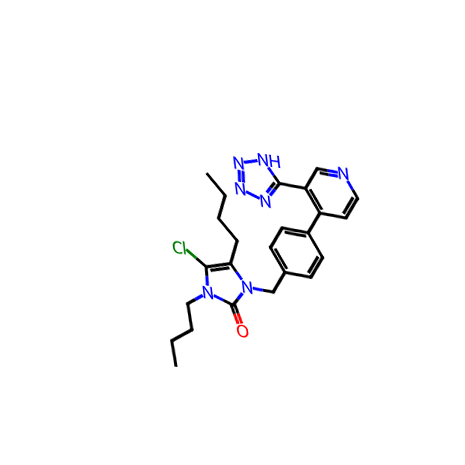 CCCCc1c(Cl)n(CCCC)c(=O)n1Cc1ccc(-c2ccncc2-c2nnn[nH]2)cc1